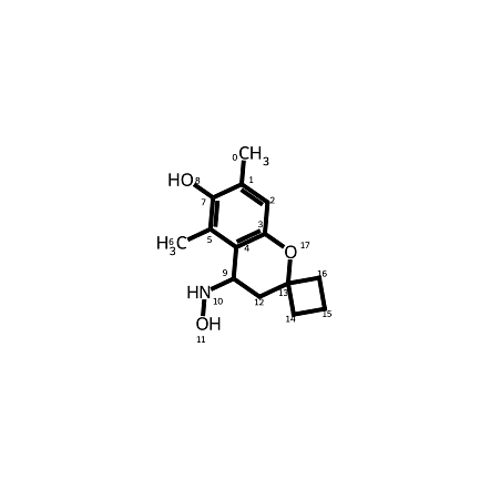 Cc1cc2c(c(C)c1O)C(NO)CC1(CCC1)O2